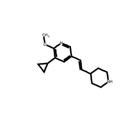 COc1ncc(/C=C/C2CCNCC2)cc1C1CC1